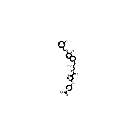 CC(=O)N1CCC(Nc2cc(C(=O)NC[C@H](O)CN3CCc4c(ccc(OCC5=CC=CCC(N)=C5)c4C)C3)ncn2)CC1